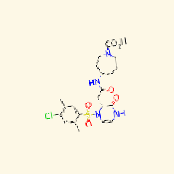 Cc1cc(S(=O)(=O)N2C=CNC(=O)[C@H]2CC(=O)N[C@H]2CCCN(C(=O)O)CC2)c(C)cc1Cl